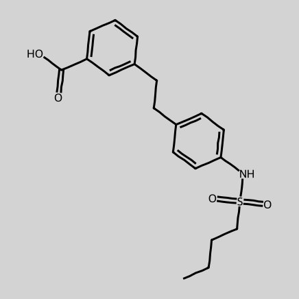 CCCCS(=O)(=O)Nc1ccc(CCc2cccc(C(=O)O)c2)cc1